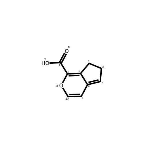 O=C(O)C1=C2CCC=C2C=CO1